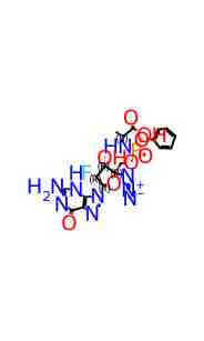 C[C@H](NP(=O)(OC[C@@]1(N=[N+]=[N-])O[C@@H](n2cnc3c(=O)nc(N)[nH]c32)[C@H](F)[C@@H]1O)Oc1ccccc1)C(=O)O